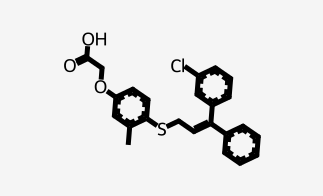 Cc1cc(OCC(=O)O)ccc1SCC=C(c1ccccc1)c1cccc(Cl)c1